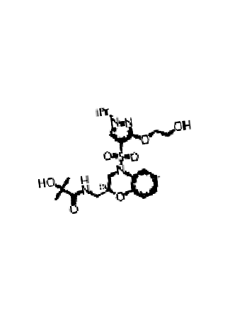 CC(C)n1cc(S(=O)(=O)N2C[C@H](CNC(=O)C(C)(C)O)Oc3cc[c]cc32)c(OCCO)n1